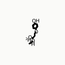 [2H]C([2H])(C)OC(=O)CCOc1ccc(O)cc1